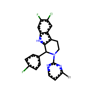 CCc1ccnc(N2CCc3c([nH]c4cc(F)c(Cl)cc34)C2c2ccc(F)cc2)n1